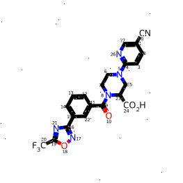 N#Cc1ccc(N2CCN(C(=O)c3cccc(-c4noc(C(F)(F)F)n4)c3)C(C(=O)O)C2)nc1